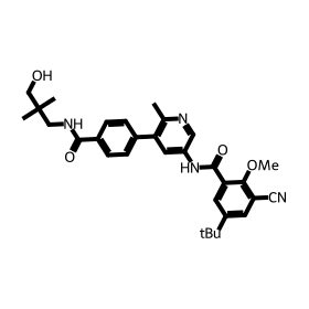 COc1c(C#N)cc(C(C)(C)C)cc1C(=O)Nc1cnc(C)c(-c2ccc(C(=O)NCC(C)(C)CO)cc2)c1